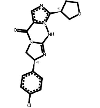 O=C1c2cnc([C@H]3CCOC3)n2NC2=N[C@@H](c3ccc(Cl)cc3)CN12